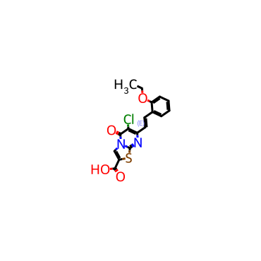 CCOc1ccccc1/C=C/c1nc2sc(C(=O)O)cn2c(=O)c1Cl